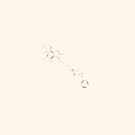 Cc1nc(N)c2nc(C)n(CCOCCNC(=O)[C@@H]3C[C@H]3c3ccccc3)c2c1C